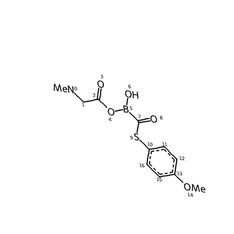 CNCC(=O)OB(O)C(=O)Sc1ccc(OC)cc1